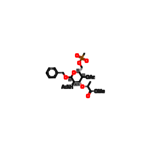 COC(=O)C(C)O[C@@H]1[C@@H](NC(C)=O)[C@@H](OCc2ccccc2)O[C@H](COS(C)(=O)=O)[C@H]1OC(C)=O